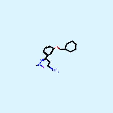 CN(I)/N=C(\CCN)c1cccc(OCC2CCCCC2)c1